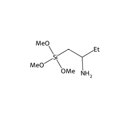 CCC(N)C[Si](OC)(OC)OC